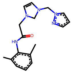 Cc1cccc(C)c1NC(=O)CN1C=CN(Cn2cccn2)C1